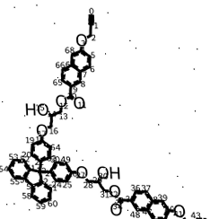 C#CCOc1ccc2cc(C(=O)OCC(O)COc3ccc(C4(c5ccc(OCC(O)COC(=O)c6ccc7cc(OCC#C)ccc7c6)cc5)c5ccccc5-c5ccccc54)cc3)ccc2c1